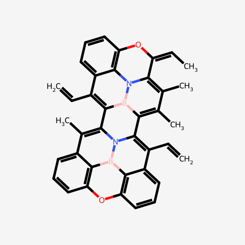 C=CC1=C2C3=C(C)C(C)=C4/C(=C\C)Oc5cccc6c5N4B3C(=C6C=C)C3=C(C)c4cccc5c4B(c4c(cccc41)O5)N32